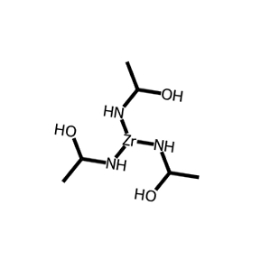 CC(O)[NH][Zr]([NH]C(C)O)[NH]C(C)O